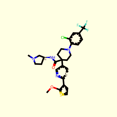 COc1sccc1-c1ccc(C2(C(=O)N[C@H]3CCN(C)C3)CCN(c3ccc(C(F)(F)F)cc3Cl)CC2)cn1